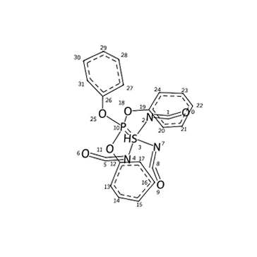 O=C=N[SH](N=C=O)(N=C=O)=P(Oc1ccccc1)(Oc1ccccc1)Oc1ccccc1